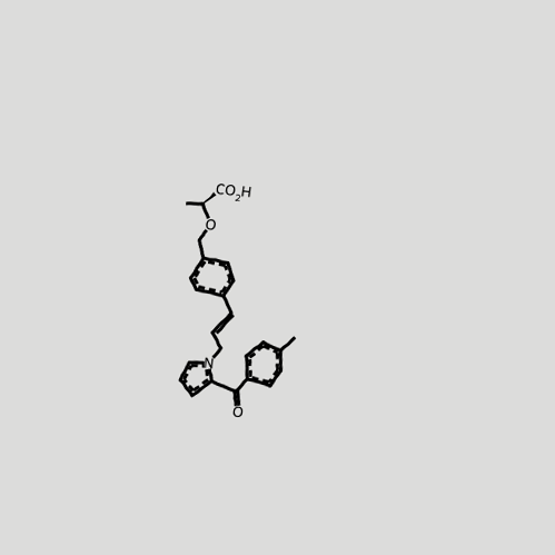 Cc1ccc(C(=O)c2cccn2C/C=C/c2ccc(CO[C@@H](C)C(=O)O)cc2)cc1